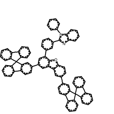 c1ccc(-n2c(-c3cccc(-c4cc(-c5ccc6c(c5)C5(c7ccccc7-c7ccccc75)c5ccccc5-6)cc5c4oc4ccc(-c6ccc7c(c6)C6(c8ccccc8-c8ccccc86)c6ccccc6-7)cc45)c3)nc3ccccc32)cc1